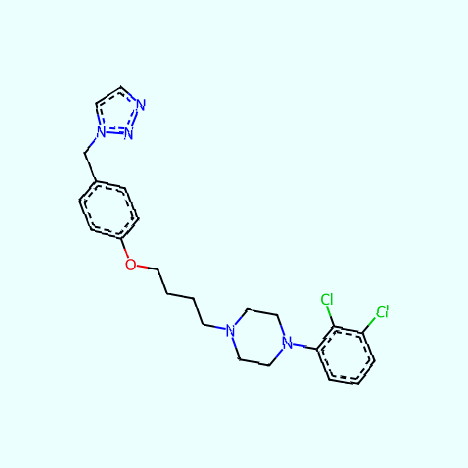 Clc1cccc(N2CCN(CCCCOc3ccc(Cn4ccnn4)cc3)CC2)c1Cl